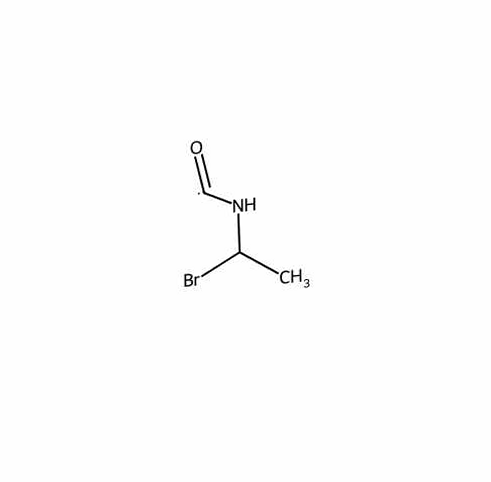 CC(Br)N[C]=O